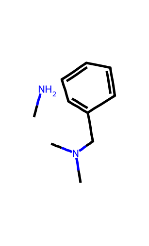 CN.CN(C)Cc1ccccc1